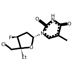 CC[C@@]1(CCl)O[C@@H](n2cc(C)c(=O)[nH]c2=O)C[C@@H]1F